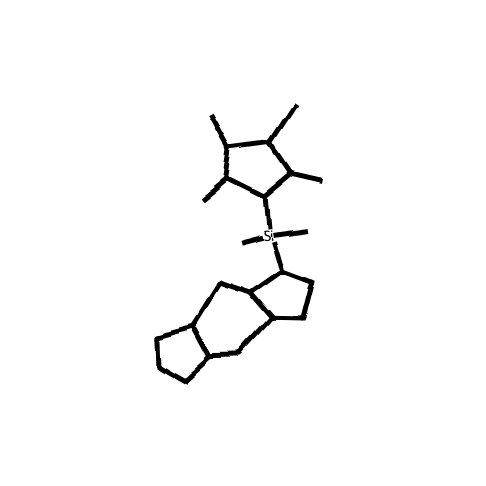 CC1C(C)C(C)C([Si](C)(C)C2CCC3CC4CCCC4CC32)C1C